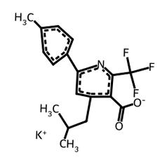 Cc1ccc(-c2cc(CC(C)C)c(C(=O)[O-])c(C(F)(F)F)n2)cc1.[K+]